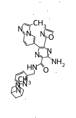 Cc1cnc2ccc(-c3nc(C(=O)NCc4cccc(N5C6CC5CN(C)C6)n4)c(N)nc3-c3ncco3)cn12